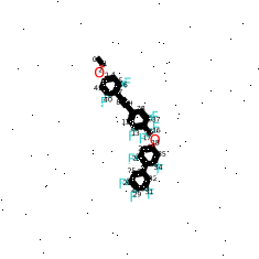 CCOc1cc(F)c(C#Cc2cc(F)c(C(F)(F)Oc3cc(F)c(-c4cc(F)c(F)c(F)c4)c(F)c3)c(F)c2)c(F)c1